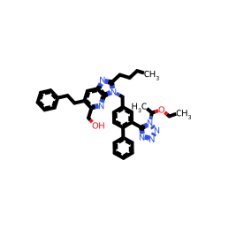 CCCCc1nc2cc(CCc3ccccc3)c(CO)nc2n1Cc1ccc(-c2ccccc2)c(-c2nnnn2C(C)OCC)c1